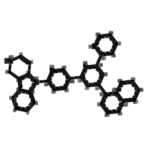 C1=Cc2c(c3ccccc3n2-c2ccc(-c3cc(-c4cccc5ccccc45)cc(-c4ccccn4)n3)cn2)CN1